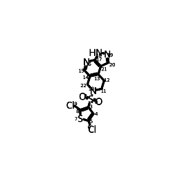 O=S(=O)(c1cc(Cl)sc1Cl)N1CCc2c(cnc3[nH]ncc23)C1